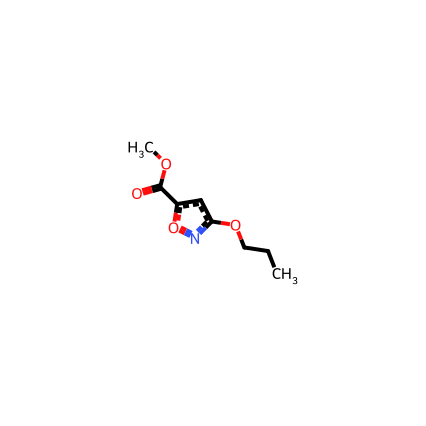 CCCOc1cc(C(=O)OC)on1